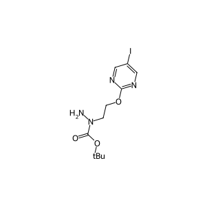 CC(C)(C)OC(=O)N(N)CCOc1ncc(I)cn1